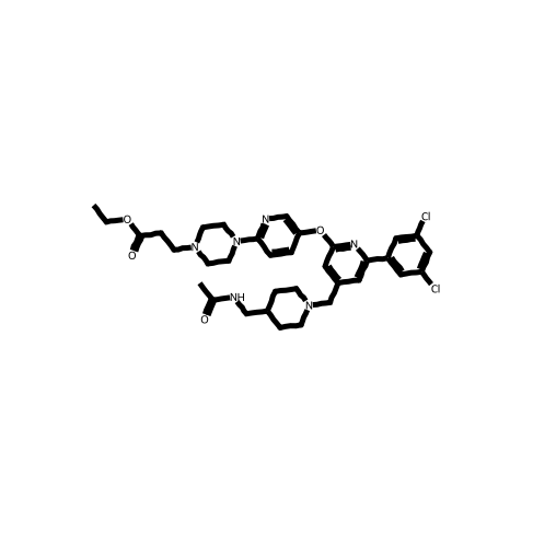 CCOC(=O)CCN1CCN(c2ccc(Oc3cc(CN4CCC(CNC(C)=O)CC4)cc(-c4cc(Cl)cc(Cl)c4)n3)cn2)CC1